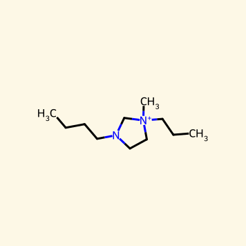 CCCCN1CC[N+](C)(CCC)C1